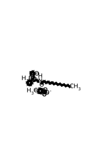 CCCCCCCCCCCCCCCC(=O)NCCC[N+](C)(CN1CCCC1=O)c1ccccc1.Cc1ccc(S(=O)(=O)[O-])cc1